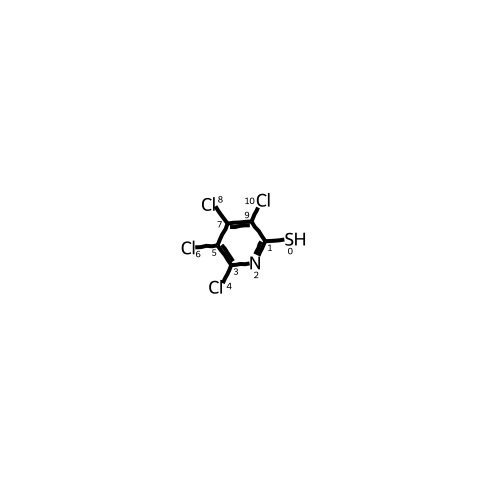 Sc1nc(Cl)c(Cl)c(Cl)c1Cl